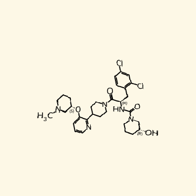 CN1CCC[C@H](Oc2cccnc2C2CCN(C(=O)[C@@H](Cc3ccc(Cl)cc3Cl)NC(=O)N3CCC[C@@H](O)C3)CC2)C1